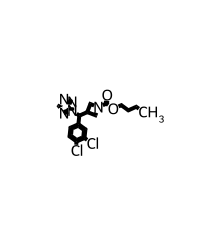 CCCCOC(=O)N1CC(C(c2ccc(Cl)c(Cl)c2)n2ncnn2)C1